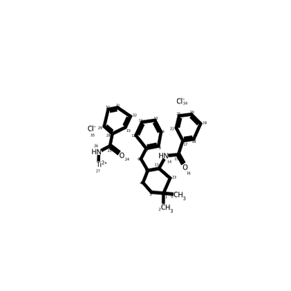 CC1(C)CCC(Cc2ccccc2)C(NC(=O)c2ccccc2)C1.O=C([NH][Ti+2])c1ccccc1.[Cl-].[Cl-]